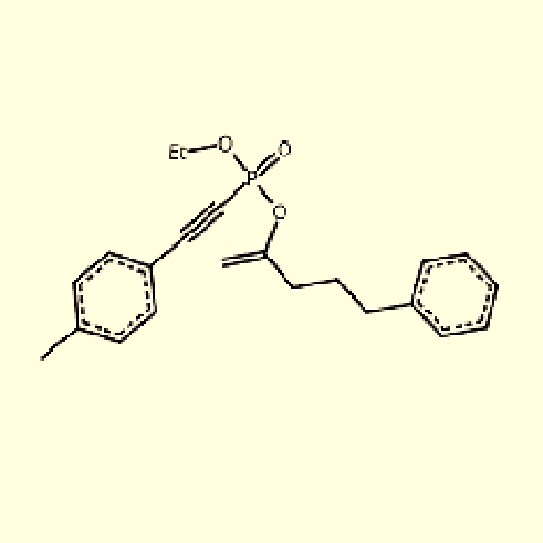 C=C(CCCc1ccccc1)OP(=O)(C#Cc1ccc(C)cc1)OCC